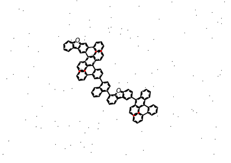 c1ccc(-c2ccccc2-c2c3ccccc3c(-c3ccc4oc5c(-c6ccc(-c7ccc(-c8c9ccccc9c(-c9cc%10c(cc9-c9ccccc9)oc9ccccc9%10)c9ccccc89)c(-c8ccccc8)c7)c7ccccc67)cccc5c4c3)c3ccccc23)cc1